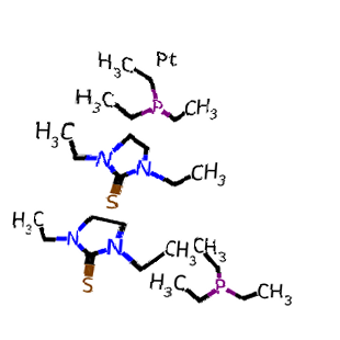 CCN1CCN(CC)C1=S.CCN1CCN(CC)C1=S.CCP(CC)CC.CCP(CC)CC.[Pt]